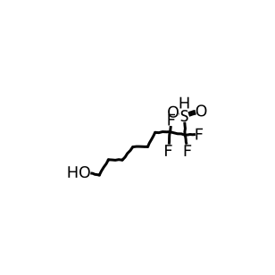 O=[SH](=O)C(F)(F)C(F)(F)CCCCCCO